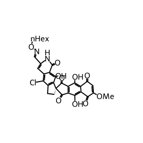 CCCCCCO/N=C/c1cc2c(Cl)c3c(c(O)c2c(=O)[nH]1)[C@@]1(CC3)C(=O)c2c(O)c3c(c(O)c2C1=O)C(=O)C(OC)=CC3=O